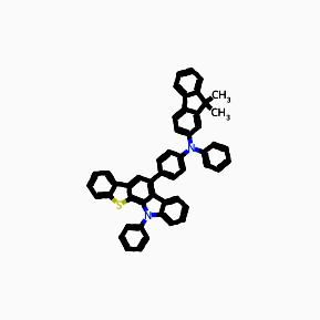 CC1(C)c2ccccc2-c2ccc(N(c3ccccc3)c3ccc(-c4cc5c6ccccc6sc5c5c4c4ccccc4n5-c4ccccc4)cc3)cc21